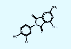 Nc1nc(N)c2c(n1)C(=O)N(c1ccc(O)c(O)c1)C2=O